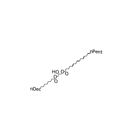 CCCCC/C=C/C/C=C/C/C=C/C/C=C/CCCC(=O)OCC(O)COC(=O)CCCCCCCCCCCCCCCCC